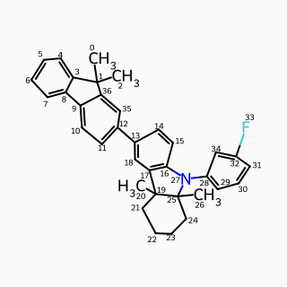 CC1(C)c2ccccc2-c2ccc(-c3ccc4c(c3)C3(C)CCCCC3(C)N4c3cccc(F)c3)cc21